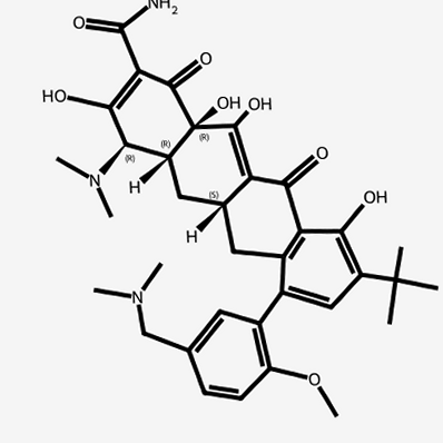 COc1ccc(CN(C)C)cc1-c1cc(C(C)(C)C)c(O)c2c1C[C@@H]1C[C@@H]3[C@@H](N(C)C)C(O)=C(C(N)=O)C(=O)[C@]3(O)C(O)=C1C2=O